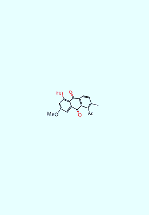 COc1cc(O)c2c(c1)C(=O)c1c(ccc(C)c1C(C)=O)C2=O